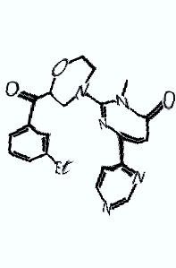 CCc1cccc(C(=O)C2CN(c3nc(-c4ccncn4)cc(=O)n3C)CCO2)c1